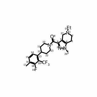 CCN1CCc2c(c(C(=O)N3CCC(c4ccc(C)c(F)c4C(F)(F)F)CC3)nn2I)C1